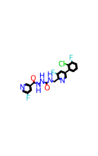 O=C(NCc1ncc(-c2cccc(F)c2Cl)cc1F)NNC(=O)c1cncc(F)c1